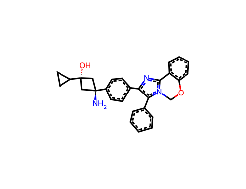 N[C@]1(c2ccc(-c3nc4n(c3-c3ccccc3)COc3ccccc3-4)cc2)C[C@](O)(C2CC2)C1